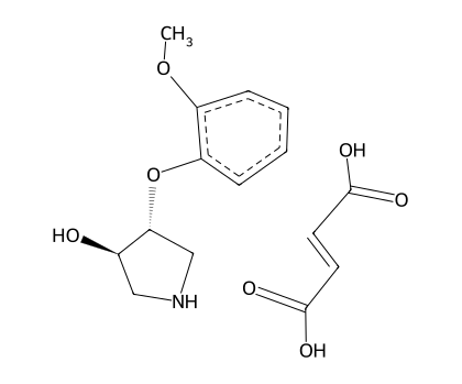 COc1ccccc1O[C@@H]1CNC[C@H]1O.O=C(O)C=CC(=O)O